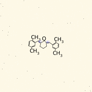 Cc1ccc(C)c(/C=C2\CCC/C(=C\c3cc(C)ccc3C)C2=O)c1